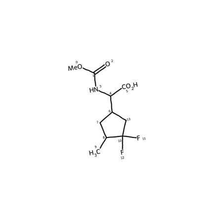 COC(=O)NC(C(=O)O)C1CC(C)C(F)(F)C1